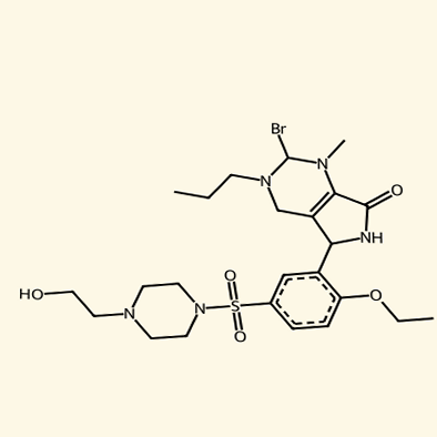 CCCN1CC2=C(C(=O)NC2c2cc(S(=O)(=O)N3CCN(CCO)CC3)ccc2OCC)N(C)C1Br